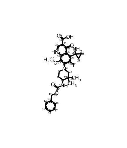 COc1c(N2CCC(NC(=O)OCc3ccccc3)C(C)(C)C2)c(F)c(C2(N)CC2)c2c(=O)c(C(=O)O)c[nH]c12